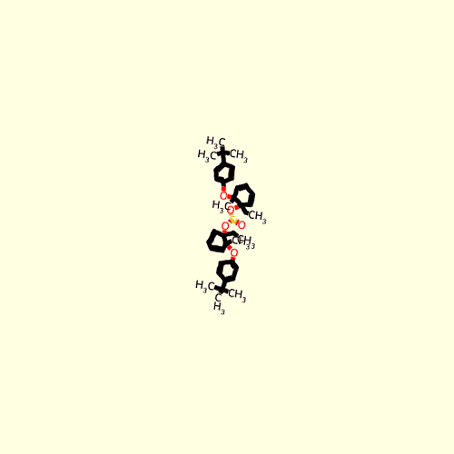 CCC1(OS(=O)OC2(CC)C=CC=CC2(C)Oc2ccc(C(C)(C)C)cc2)C=CC=CC1(C)Oc1ccc(C(C)(C)C)cc1